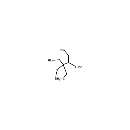 COC(CC(C)(C)C)C(CC(C)(C)C)(CC(C)(C)C)O[SiH3]